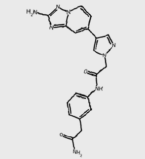 NC(=O)Cc1cccc(NC(=O)Cn2cc(-c3ccn4nc(N)nc4c3)cn2)c1